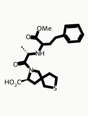 COC(=O)C(CCc1ccccc1)N[C@@H](C)C(=O)N1CC2(CCSC2)C[C@H]1C(=O)O